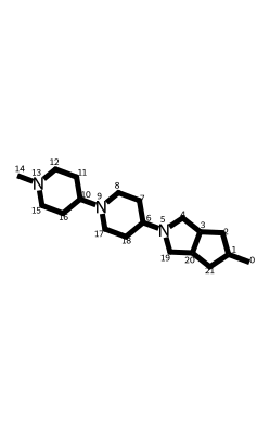 CC1CC2CN(C3CCN(C4CCN(C)CC4)CC3)CC2C1